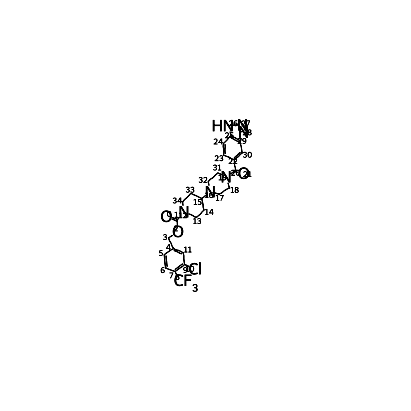 O=C(OCc1ccc(C(F)(F)F)c(Cl)c1)N1CCC(N2CCN(C(=O)c3ccc4[nH]nnc4c3)CC2)CC1